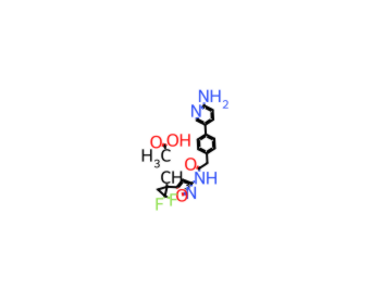 CC(=O)O.CC1(c2cc(NC(=O)Cc3ccc(-c4ccc(N)nc4)cc3)no2)CC1(F)F